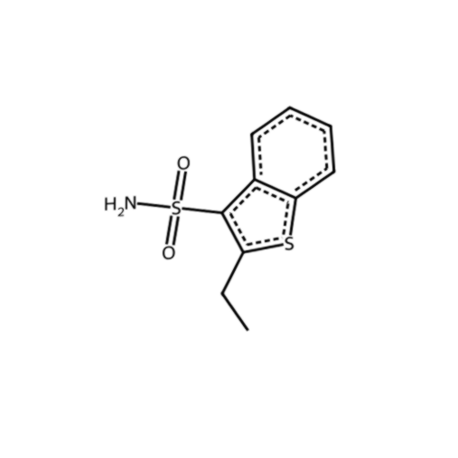 CCc1sc2ccccc2c1S(N)(=O)=O